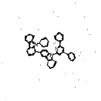 C1=CCC(n2c3ccccc3c3cccc(-c4ccc5c(c4)c4c(n5-c5cc(-c6ccccc6)cc(-c6ccccc6)n5)C=CCC4)c32)C=C1